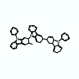 CC1C=c2c(n(-c3ccccc3)c3ccccc23)=CC1n1c2c(c3ccccc31)=CC(C1C=CC3C(C1)C1=CCCC=C1N3c1ccccc1)CC=2